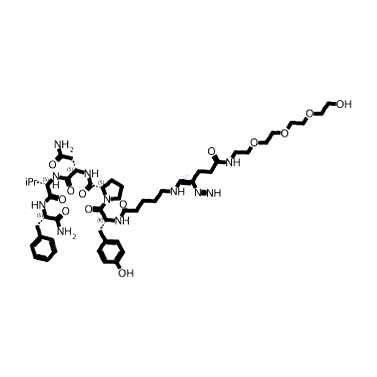 CC(C)[C@H](NC(=O)[C@H](CC(N)=O)NC(=O)[C@@H]1CCCN1C(=O)[C@@H](Cc1ccc(O)cc1)NC(=O)CCCCN/C=C(/CCC(=O)NCCOCCOCCOCCO)N=N)C(=O)N[C@@H](Cc1ccccc1)C(N)=O